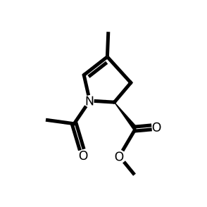 COC(=O)[C@@H]1CC(C)=CN1C(C)=O